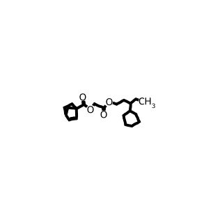 CCC(CCOC(=O)COC(=O)C12C=CC(CC1)C2)C1CCCCC1